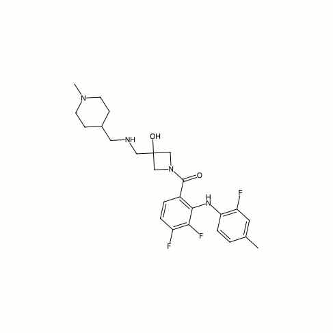 Cc1ccc(Nc2c(C(=O)N3CC(O)(CNCC4CCN(C)CC4)C3)ccc(F)c2F)c(F)c1